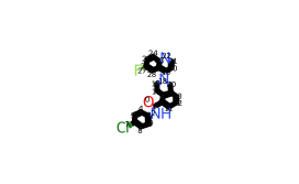 O=C(Nc1ccc(Cl)cc1)c1cccc2c1CCN(c1ccnc3ccc(F)cc13)C2